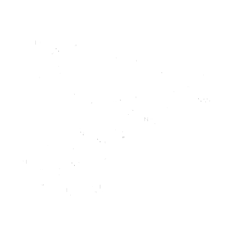 C=C(NC)c1ccc2c(c1)CCc1cc(C(=O)N(C)C)ccc1C2(CCNCC(=C)N1C(C#N)C[C@@H]2C[C@@H]21)C(N)=O